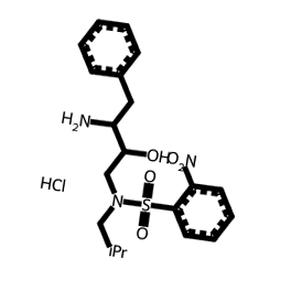 CC(C)CN(CC(O)C(N)Cc1ccccc1)S(=O)(=O)c1ccccc1[N+](=O)[O-].Cl